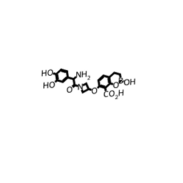 NC(C(=O)N1CC(Oc2ccc3c(c2C(=O)O)OB(O)CC3)C1)c1ccc(O)c(O)c1